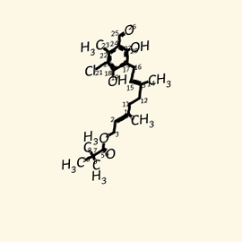 C/C(=C\COC(=O)C(C)(C)C)CC/C(C)=C/Cc1c(O)c(Cl)c(C)c(C=O)c1O